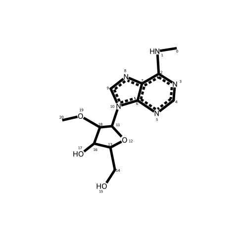 CNc1ncnc2c1ncn2C1OC(CO)C(O)C1OC